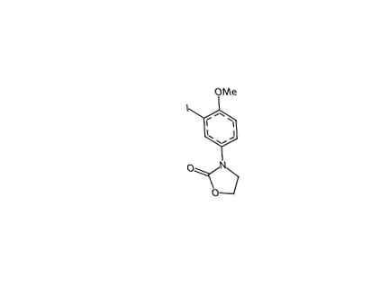 COc1ccc(N2CCOC2=O)cc1I